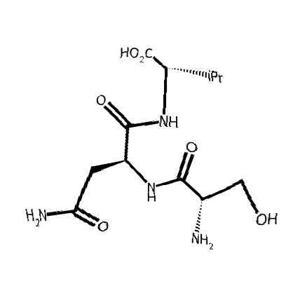 CC(C)[C@H](NC(=O)[C@H](CC(N)=O)NC(=O)[C@@H](N)CO)C(=O)O